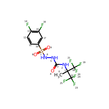 CC(NC(=O)NNS(=O)(=O)c1ccc(F)c(F)c1)(C(F)(F)F)C(F)(F)F